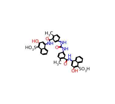 Cc1ccc(NC(=O)Nc2ccc(C)c(C(=O)Nc3cc(O)c(S(=O)(=O)O)c4ccccc34)c2)cc1C(=O)Nc1cc(O)c(S(=O)(=O)O)c2ccccc12